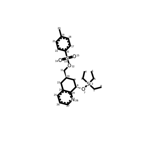 CC[Si](CC)(CC)O[C@H]1C[C@H](COS(=O)(=O)c2ccc(C)cc2)Cc2cccnc21